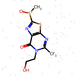 C[S+]([O-])c1nc2c(=O)n(CCO)c(C(F)(F)F)nc2s1